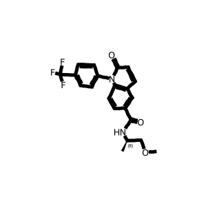 COC[C@@H](C)NC(=O)c1ccc2c(ccc(=O)n2-c2ccc(C(F)(F)F)cc2)c1